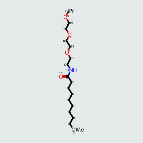 COCCCCCCCCC(=O)NCCOCCOCCOC(C)C